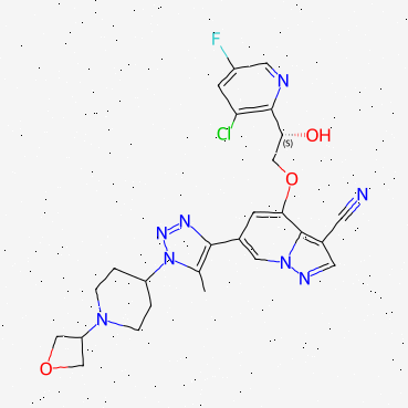 Cc1c(-c2cc(OC[C@@H](O)c3ncc(F)cc3Cl)c3c(C#N)cnn3c2)nnn1C1CCN(C2COC2)CC1